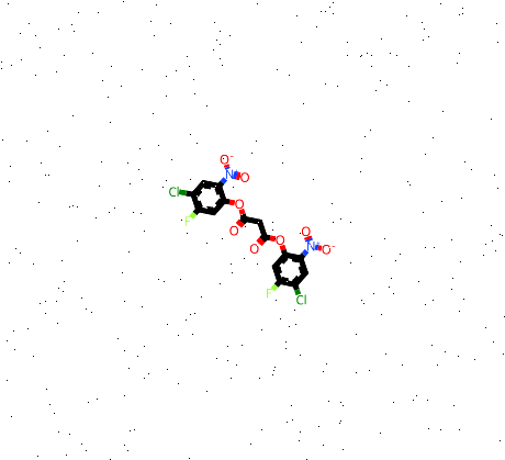 O=C(CC(=O)Oc1cc(F)c(Cl)cc1[N+](=O)[O-])Oc1cc(F)c(Cl)cc1[N+](=O)[O-]